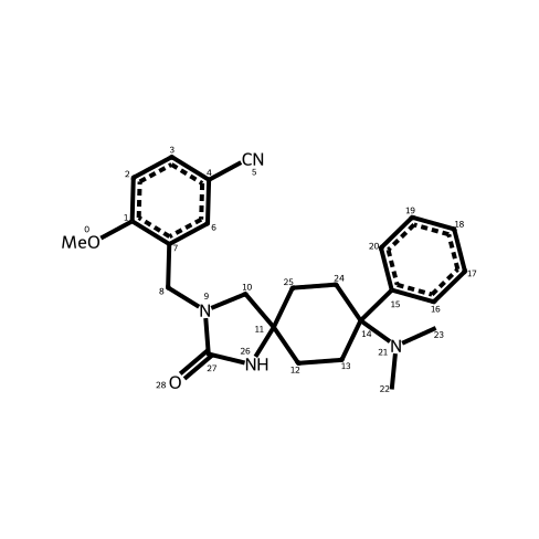 COc1ccc(C#N)cc1CN1CC2(CCC(c3ccccc3)(N(C)C)CC2)NC1=O